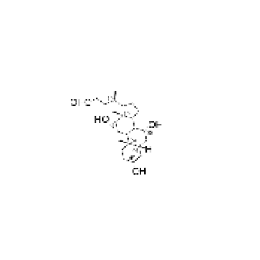 C[C@H](CCC=O)C1CCC2C3C(C[C@H](O)[C@@]21C)[C@@]1(C)CC[C@@H](O)C[C@H]1C[C@H]3O